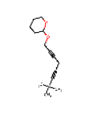 C[Si](C)(C)C#CCC#CCOC1CCCCO1